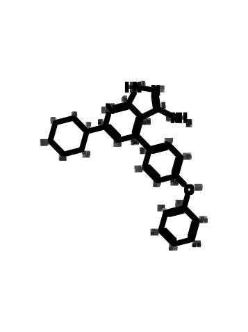 Nc1n[nH]c2nc(C3CCCCC3)cc(-c3ccc(Oc4ccccc4)cc3)c12